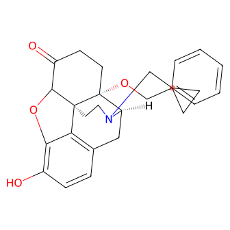 O=C1CC[C@@]2(OCc3ccccc3)[C@H]3Cc4ccc(O)c5c4[C@@]2(CCN3CC2CC2)C1O5